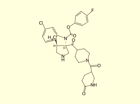 CCN(C(=O)Oc1ccc(F)cc1)[C@]1(C(=O)C2CCN(C(=O)C3CCC(=O)NC3)CC2)CNC[C@H]1c1ccc(Cl)cc1